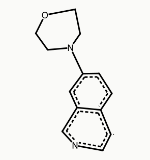 [c]1cncc2cc(N3CCOCC3)ccc12